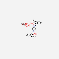 CC(=O)[O-].CC(=O)[O-].CC(C)Cc1cc(C=Nc2ccc(N=Cc3cc(CC(C)C)cc(C(C)C)c3O)cc2)c(O)c(C(C)C)c1.[Co+2]